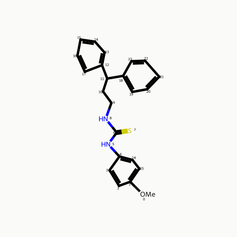 COc1ccc(NC(=S)NCCC(c2ccccc2)c2ccccc2)cc1